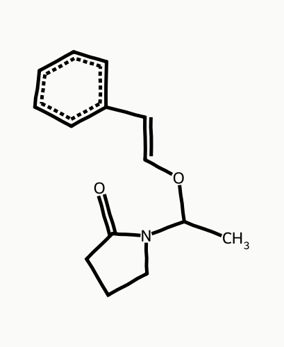 CC(OC=Cc1ccccc1)N1CCCC1=O